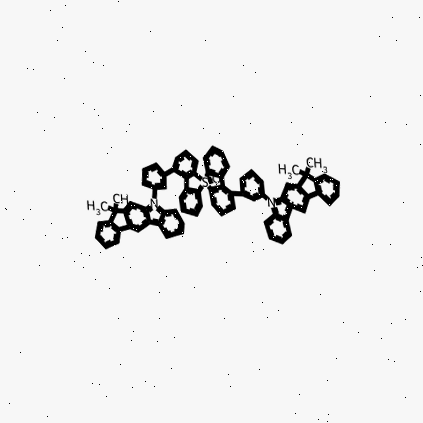 CC1(C)c2ccccc2-c2cc3c4ccccc4n(-c4cccc(-c5cccc6c5-c5ccccc5S65(=O)c6ccccc6-c6c(-c7cccc(-n8c9ccccc9c9cc%10c(cc98)C(C)(C)c8ccccc8-%10)c7)cccc65)c4)c3cc21